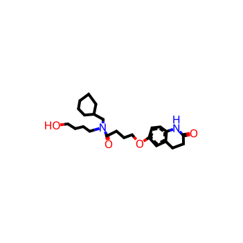 O=C1CCc2cc(OCCCC(=O)N(CCCCO)CC3CCCCC3)ccc2N1